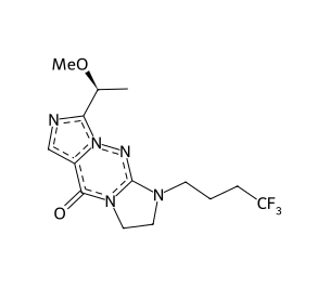 CO[C@@H](C)c1ncc2c(=O)n3c(nn12)N(CCCC(F)(F)F)CC3